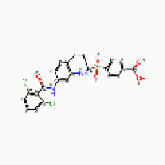 O=C(O)c1ccc(S(=O)(=O)C2CCc3ccc(NC(=O)c4c(F)cccc4Cl)cc3N2)cc1